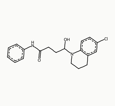 O=C(CCC(O)N1CCCc2cc(Cl)ccc21)Nc1ccccc1